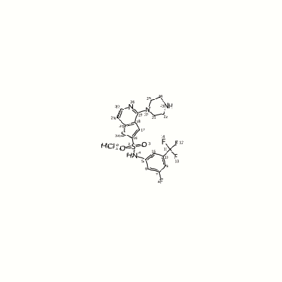 Cl.O=S(=O)(Nc1cc(F)cc(C(F)(F)F)c1)c1cc2c(N3CCNCC3)nccc2s1